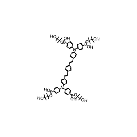 CC(C)(O)C(C)(C)OB(O)c1ccc(N(c2ccc(C=Cc3ccc(C=Cc4ccc(N(c5ccc(B(O)OC(C)(C)C(C)(C)O)cc5)c5ccc(B(O)OC(C)(C)C(C)(C)O)cc5)cc4)cc3)cc2)c2ccc(B(O)OC(C)(C)C(C)(C)O)cc2)cc1